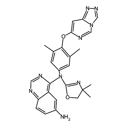 Cc1cc(N(C2=NC(C)(C)CO2)c2ncnc3ccc(N)cc23)cc(C)c1Oc1cc2nncn2cn1